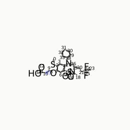 CSc1cc2c(cc1O/C=C/C(=O)O)S(=O)(=O)N(C)C(CCC(C)(F)F)CN2c1ccccc1